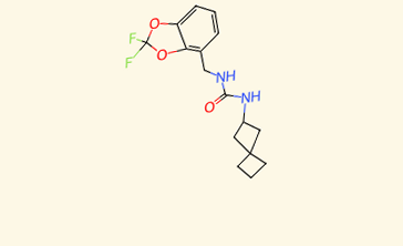 O=C(NCc1cccc2c1OC(F)(F)O2)NC1CC2(CCC2)C1